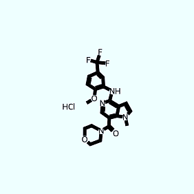 COc1ccc(C(F)(F)F)cc1Nc1ncc(C(=O)N2CCOCC2)c2c1ccn2C.Cl